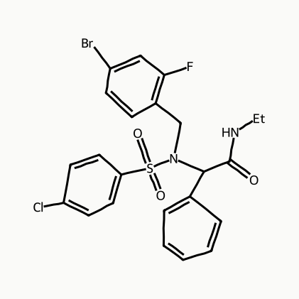 CCNC(=O)C(c1ccccc1)N(Cc1ccc(Br)cc1F)S(=O)(=O)c1ccc(Cl)cc1